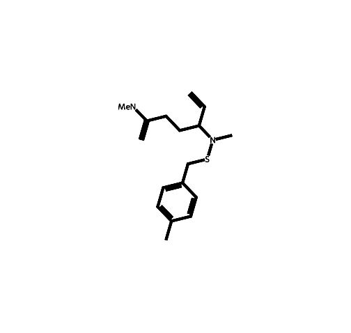 C=CC(CCC(=C)NC)N(C)SCc1ccc(C)cc1